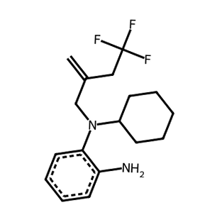 C=C(CN(c1ccccc1N)C1CCCCC1)CC(F)(F)F